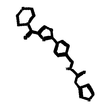 O=C(Cc1ccsc1)NCc1ccc(-c2nc(C(=O)N3CCSCC3)co2)cc1